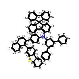 c1ccc(-c2cc(-c3ccccc3)cc(N(c3ccc(-c4ccc5ccccc5c4-c4ccc5c(c4)sc4ccccc45)cc3)c3cccc4c3-c3ccccc3C43c4ccccc4-c4ccccc43)c2)cc1